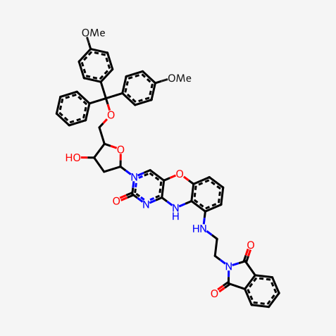 COc1ccc(C(OCC2OC(n3cc4c(nc3=O)Nc3c(NCCN5C(=O)c6ccccc6C5=O)cccc3O4)CC2O)(c2ccccc2)c2ccc(OC)cc2)cc1